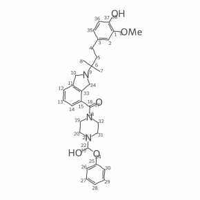 COc1cc(CCC(C)(C)N2Cc3cccc(C(=O)N4CCN(C(O)Oc5ccccc5)CC4)c3C2)ccc1O